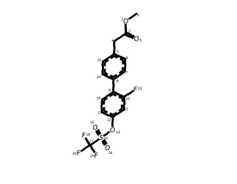 COC(=O)Cc1ccc(-c2ccc(OS(=O)(=O)C(F)(F)F)cc2F)cc1